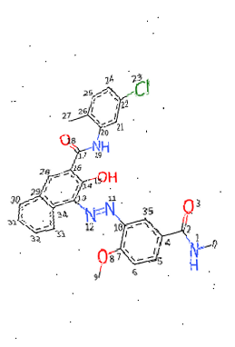 CNC(=O)c1ccc(OC)c(/N=N/c2c(O)c(C(=O)Nc3cc(Cl)ccc3C)cc3ccccc23)c1